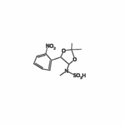 CN(C1OC(C)(C)OC1c1ccccc1[N+](=O)[O-])S(=O)(=O)O